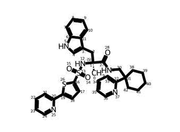 C[C@@](Cc1c[nH]c2ccccc12)(NS(=O)(=O)c1ccc(-c2ccccn2)s1)C(=O)NCC1(c2ccccn2)CCCCC1